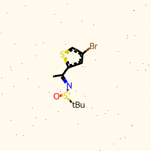 CC(=N[S+]([O-])C(C)(C)C)c1cc(Br)cs1